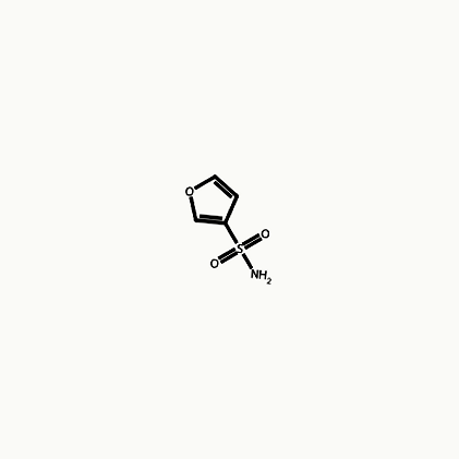 NS(=O)(=O)c1ccoc1